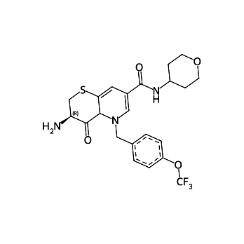 N[C@H]1CSC2=CC(C(=O)NC3CCOCC3)=CN(Cc3ccc(OC(F)(F)F)cc3)C2C1=O